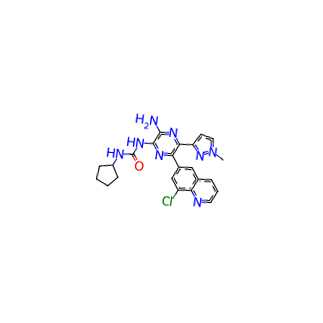 Cn1ccc(-c2nc(N)c(NC(=O)NC3CCCC3)nc2-c2cc(Cl)c3ncccc3c2)n1